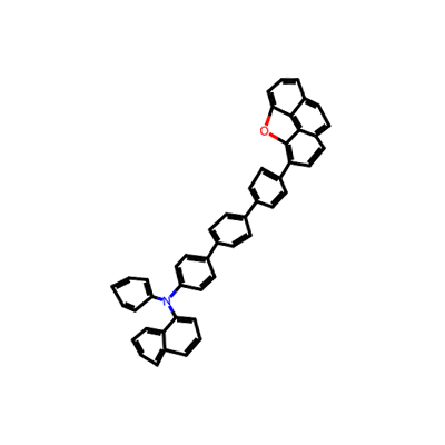 c1ccc(N(c2ccc(-c3ccc(-c4ccc(-c5ccc6ccc7cccc8oc5c6c78)cc4)cc3)cc2)c2cccc3ccccc23)cc1